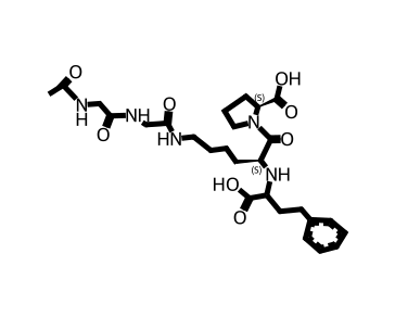 CC(=O)NCC(=O)NCC(=O)NCCCC[C@H](NC(CCc1ccccc1)C(=O)O)C(=O)N1CCC[C@H]1C(=O)O